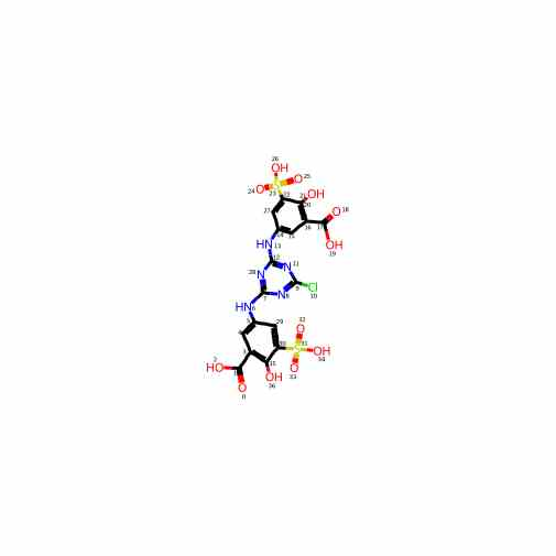 O=C(O)c1cc(Nc2nc(Cl)nc(Nc3cc(C(=O)O)c(O)c(S(=O)(=O)O)c3)n2)cc(S(=O)(=O)O)c1O